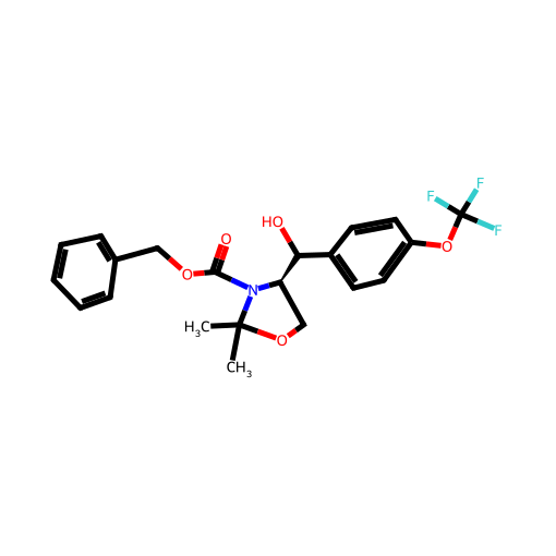 CC1(C)OC[C@H](C(O)c2ccc(OC(F)(F)F)cc2)N1C(=O)OCc1ccccc1